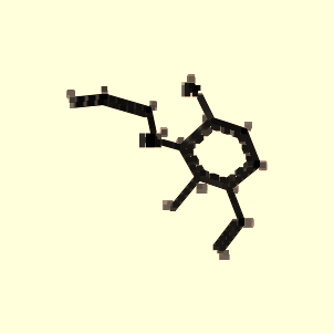 C=C=CNc1c(C(C)C)ccc(C=C)c1C